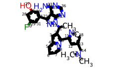 CC(c1cc2ccccn2c1-c1cc(CN(C)C)ccn1)n1nc(-c2cc(O)cc(F)c2)c2c(N)ncnc21